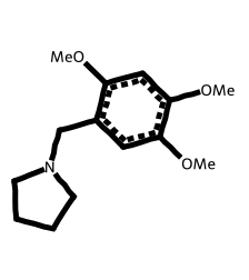 COc1cc(OC)c(OC)cc1CN1CCCC1